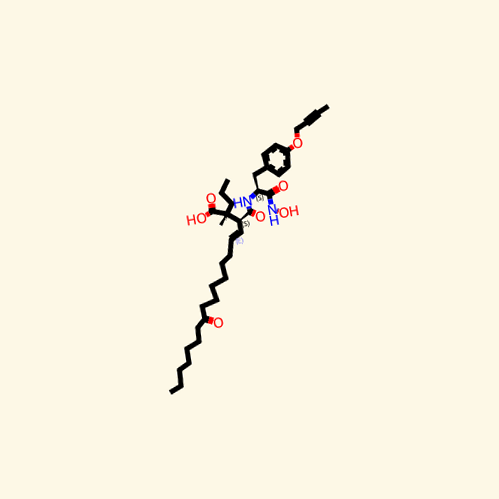 CC#CCOc1ccc(C[C@H](NC(=O)[C@@H](/C=C/CCCCCCC(=O)CCCCCCC)[C@@](C)(CCC)C(=O)O)C(=O)NO)cc1